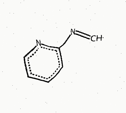 [CH]=Nc1ccccn1